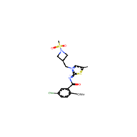 COc1ccc(Cl)cc1C(=O)/N=c1\sc(C)cn1CC1CN(S(C)(=O)=O)C1